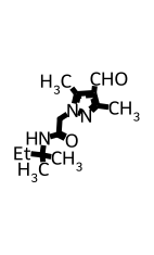 CCC(C)(C)NC(=O)Cn1nc(C)c(C=O)c1C